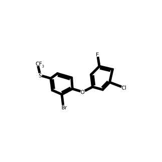 Fc1cc(Cl)cc(Oc2ccc(SC(F)(F)F)cc2Br)c1